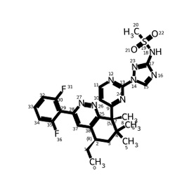 CC[C@@H]1CC(C)(C)[C@@](C)(c2ccnc(-n3cnc(NS(C)(=O)=O)n3)n2)c2nnc(-c3c(F)cccc3F)cc21